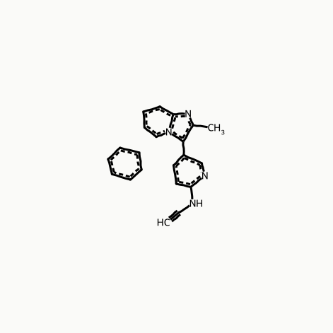 C#CNc1ccc(-c2c(C)nc3ccccn23)cn1.c1ccccc1